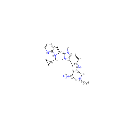 Cn1c(-c2cc3cccnc3n2CC2CC2)nc2cc(N[C@H]3C[C@@H](N)CN(C(=O)O)C3)ccc21